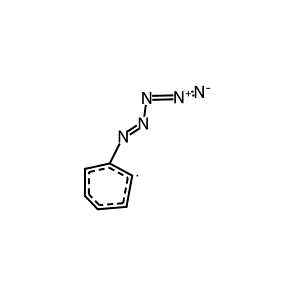 [N-]=[N+]=NN=Nc1[c]cccc1